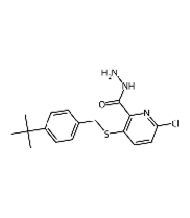 CC(C)(C)c1ccc(CSc2ccc(Cl)nc2C(=O)NN)cc1